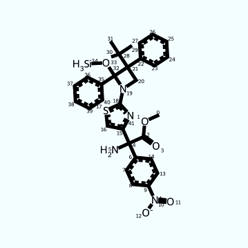 COC(=O)C(N)(c1ccc([N+](=O)[O-])cc1)c1csc(N2CC(c3ccccc3)(C(C)(C)C)C2(O[SiH3])c2ccccc2)n1